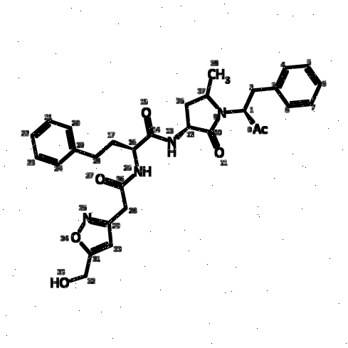 CC(=O)[C@H](Cc1ccccc1)N1C(=O)[C@@H](NC(=O)[C@H](CCc2ccccc2)NC(=O)Cc2cc(CO)on2)CC1C